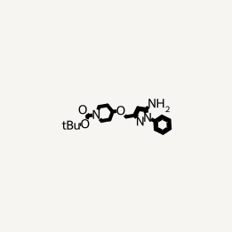 CC(C)(C)OC(=O)N1CCC(OCc2cc(N)n(-c3ccccc3)n2)CC1